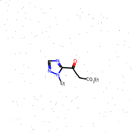 CCOC(=O)CC(=O)c1ncnn1CC